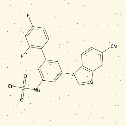 CCS(=O)(=O)Nc1cc(-c2ccc(F)cc2F)cc(-n2cnc3cc(C#N)ccc32)c1